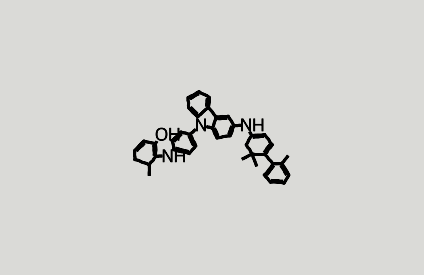 Cc1ccccc1C1=CC=C(Nc2ccc3c(c2)c2ccccc2n3-c2ccc(NC3=C(O)C=CCC3C)cc2)CC1(C)C